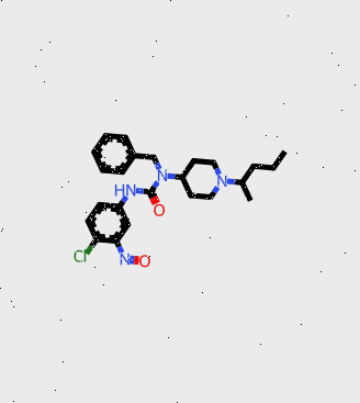 CCCC(C)N1CCC(N(Cc2ccccc2)C(=O)Nc2ccc(Cl)c(N=O)c2)CC1